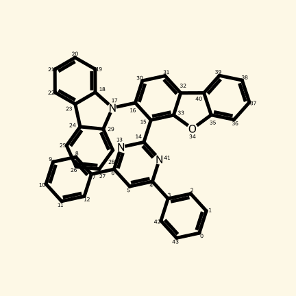 c1ccc(-c2cc(-c3ccccc3)nc(-c3c(-n4c5ccccc5c5ccccc54)ccc4c3oc3ccccc34)n2)cc1